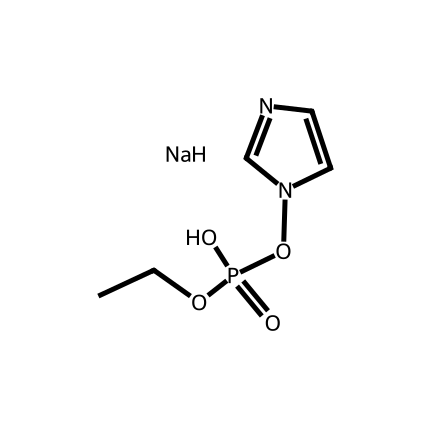 CCOP(=O)(O)On1ccnc1.[NaH]